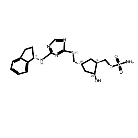 NS(=O)(=O)OC[C@@H]1C[C@@H](CNc2ncnc(N[C@H]3CCc4ccccc43)n2)C[C@@H]1O